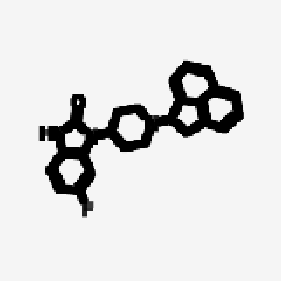 O=c1[nH]c2ccc(F)cc2n1C1CCN(C2Cc3cccc4cccc2c34)CC1